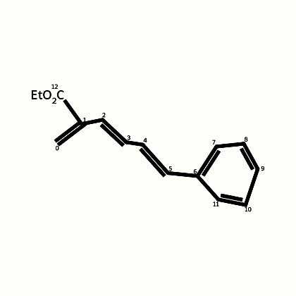 C=C(C=CC=Cc1ccccc1)C(=O)OCC